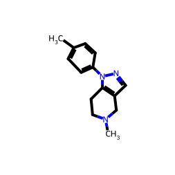 Cc1ccc(-n2ncc3c2CCN(C)C3)cc1